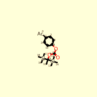 CC(=O)c1ccc(OC(=O)OC(C)([Si](C)(C)C)[Si](C)(C)C)cc1